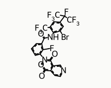 O=C(Nc1c(Br)cc(C(F)(C(F)(F)F)C(F)(F)F)cc1C(F)(F)F)c1cccc(-n2oc(=O)c3ccncc3c2=O)c1F